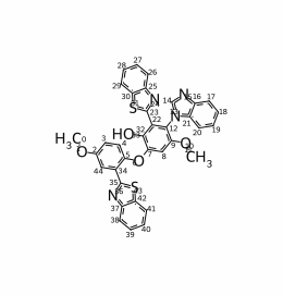 COc1ccc(Oc2cc(OC)c(-n3cnc4ccccc43)c(-c3nc4ccccc4s3)c2O)c(-c2nc3ccccc3s2)c1